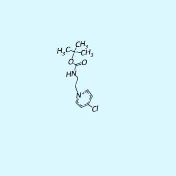 CC(C)(C)OC(=O)NCC[n+]1ccc(Cl)cc1